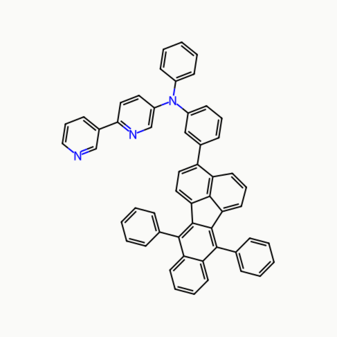 c1ccc(-c2c3c(c(-c4ccccc4)c4ccccc24)-c2ccc(-c4cccc(N(c5ccccc5)c5ccc(-c6cccnc6)nc5)c4)c4cccc-3c24)cc1